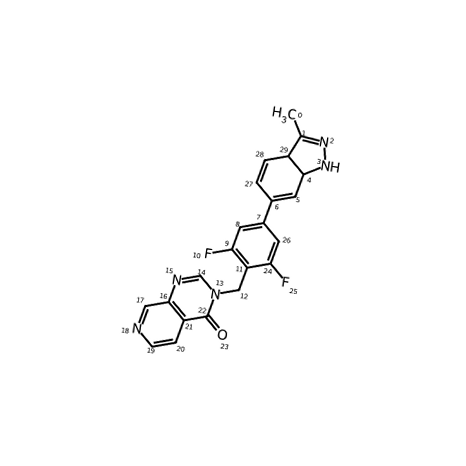 CC1=NNC2C=C(c3cc(F)c(Cn4cnc5cnccc5c4=O)c(F)c3)C=CC12